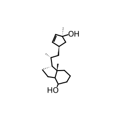 C[C@H](C[C@H]1C=C[C@@](C)(O)C1)[C@H]1CCC2C(O)CCC[C@]21C